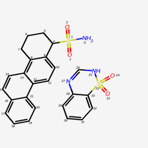 NS(=O)(=O)C1CCCc2c1ccc1c2ccc2ccccc21.O=S1(=O)NC=Nc2ccccc21